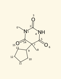 CN1C(=O)NC(=O)C(C)(C2CCCC2)C1=O